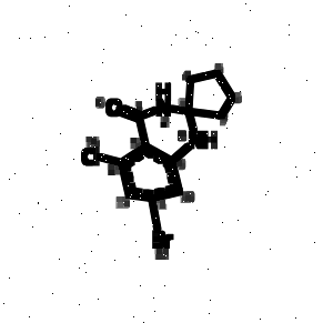 O=C1NC2(CCCC2)Nc2cc(Br)cc(Cl)c21